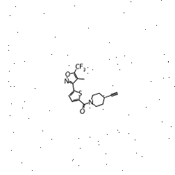 C#CC1CCN(C(=O)c2ccc(-c3noc(C(F)(F)F)c3C)s2)CC1